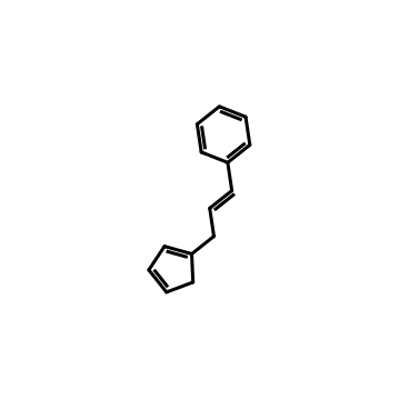 C1=CCC(CC=Cc2ccccc2)=C1